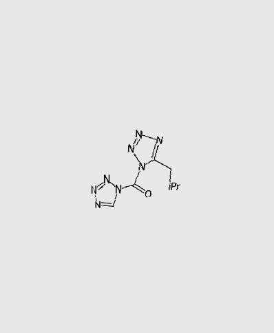 CC(C)Cc1nnnn1C(=O)n1cnnn1